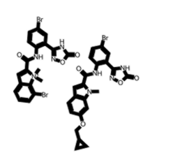 C[N+]1(C)C(C(=O)Nc2ccc(Br)cc2-c2noc(=O)[nH]2)=Cc2cccc(Br)c21.Cn1c(C(=O)Nc2ccc(Br)cc2-c2noc(=O)[nH]2)cc2ccc(OCC3CC3)cc21